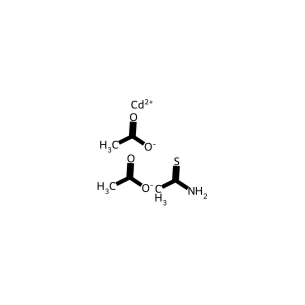 CC(=O)[O-].CC(=O)[O-].CC(N)=S.[Cd+2]